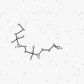 CCCC(C)(C)OCCC(C)(C)OCCC=O